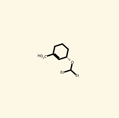 CCC(CC)O[C@@H]1C=C(C(=O)O)CCC1